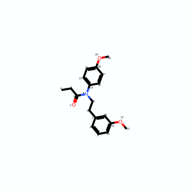 CCC(=O)N(CCc1cccc(OC)c1)c1ccc(OC)cc1